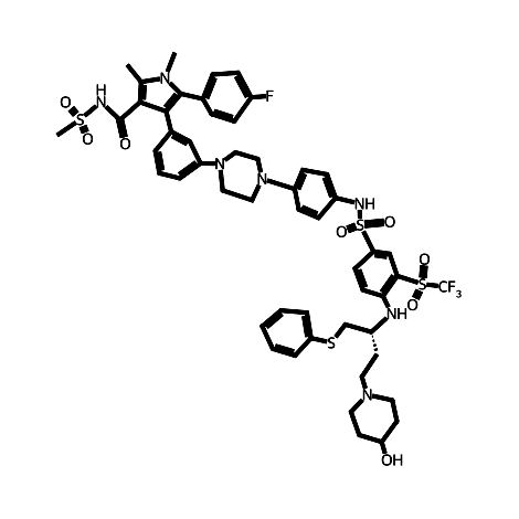 Cc1c(C(=O)NS(C)(=O)=O)c(-c2cccc(N3CCN(c4ccc(NS(=O)(=O)c5ccc(N[C@H](CCN6CCC(O)CC6)CSc6ccccc6)c(S(=O)(=O)C(F)(F)F)c5)cc4)CC3)c2)c(-c2ccc(F)cc2)n1C